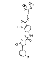 COC(CCOC(=O)c1ccc(NS(=O)(=O)c2cc(-c3cccc(F)c3)c(Cl)s2)cc1O)OC